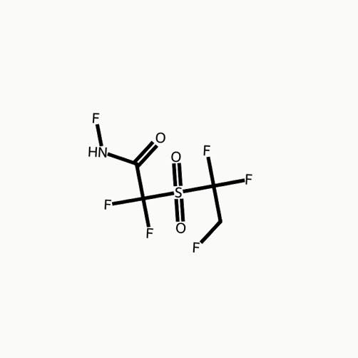 O=C(NF)C(F)(F)S(=O)(=O)C(F)(F)CF